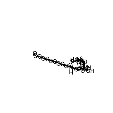 CC(=O)SCCOCCOCCOCCOCCOCCOCCOCCOCCC(=O)NCCCOc1ccc(NC(=O)C(CC(=O)O)NC(=O)CNC(=O)c2csc(NC(=O)NCc3ccccc3)n2)cc1